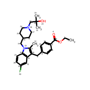 CCOC(=O)c1ccc(Cc2c(C)n(CC3CCN(CC(C)(C)O)CC3)c3ccc(F)cc23)cc1